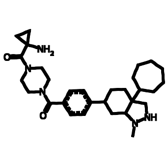 CN1NCC2(C3CCCCCC3)CCC(c3ccc(C(=O)N4CCN(C(=O)C5(N)CC5)CC4)cc3)CC12